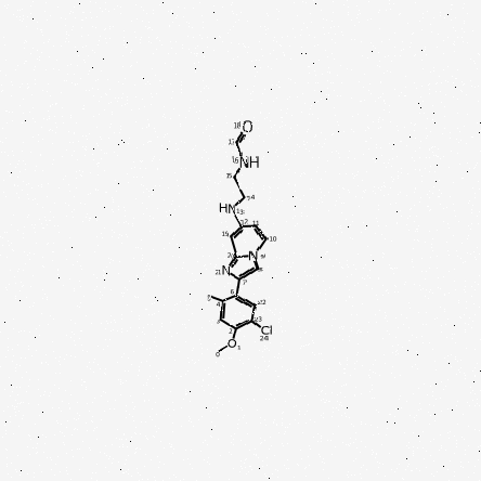 COc1cc(C)c(-c2cn3ccc(NCCNC=O)cc3n2)cc1Cl